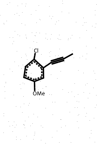 CC#Cc1cc(OC)ccc1Cl